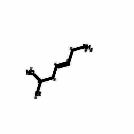 CCC(O)CC=CCN